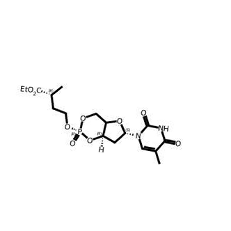 CCOC(=O)[C@H](C)CCO[P@]1(=O)OCC2O[C@H](n3cc(C)c(=O)[nH]c3=O)C[C@H]2O1